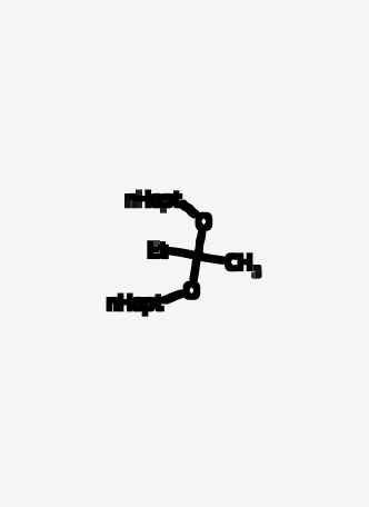 CCCCCCCOC(C)(CC)OCCCCCCC